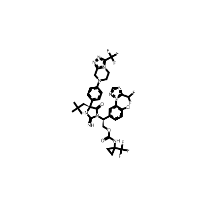 CC(C)(C)C[C@]1(c2ccc(N3CCn4c(nnc4C(F)(F)F)C3)cc2)NC(=N)N([C@H](COC(=O)NC2(C(F)(F)F)CC2)c2ccc(Cl)c(-n3ncnc3C(F)F)c2)C1=O